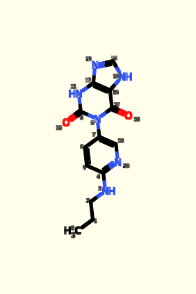 CCCNc1ccc(-n2c(=O)[nH]c3nc[nH]c3c2=O)cn1